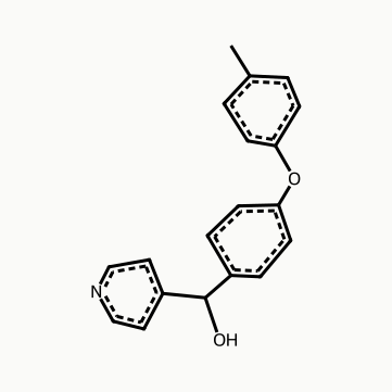 Cc1ccc(Oc2ccc(C(O)c3ccncc3)cc2)cc1